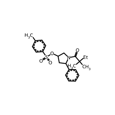 CCC(C)(C)C(=O)N1CC(OS(=O)(=O)c2ccc(C)cc2)CC1c1ccccc1